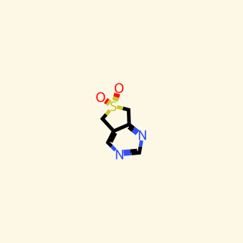 O=S1(=O)Cc2cncnc2C1